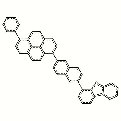 c1ccc(-c2ccc3ccc4c(-c5ccc6cc(-c7cccc8c7oc7ccccc78)ccc6c5)ccc5ccc2c3c54)cc1